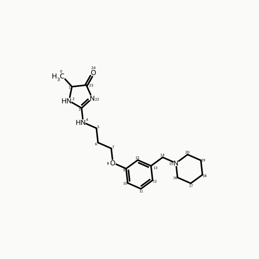 CC1NC(NCCCOc2cccc(CN3CCCCC3)c2)=NC1=O